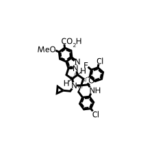 COc1cc2c3n(nc2cc1C(=O)O)[C@@H]1[C@H](C3)N(CC2CC2)[C@]2(Cc3ccc(Cl)cc3NC2=O)[C@H]1c1cccc(Cl)c1F